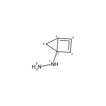 NNC12C=C=C1C2